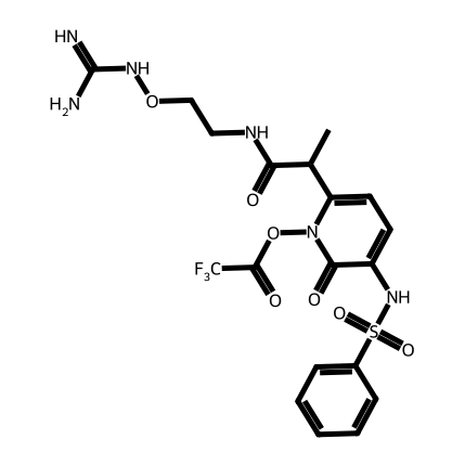 CC(C(=O)NCCONC(=N)N)c1ccc(NS(=O)(=O)c2ccccc2)c(=O)n1OC(=O)C(F)(F)F